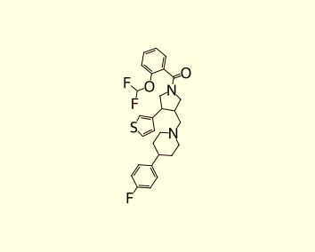 O=C(c1ccccc1OC(F)F)N1CC(CN2CCC(c3ccc(F)cc3)CC2)C(c2ccsc2)C1